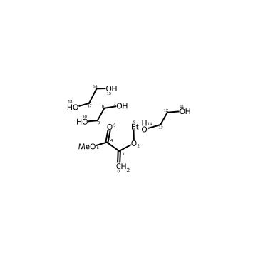 C=C(OCC)C(=O)OC.OCCO.OCCO.OCCO